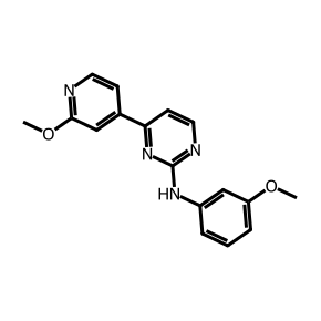 COc1cccc(Nc2nccc(-c3ccnc(OC)c3)n2)c1